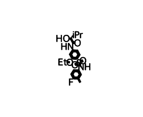 CCOc1cc(NC(=O)[C@@H](O)C(C)C)ccc1S(=O)(=O)Nc1ccc(F)c(C)c1